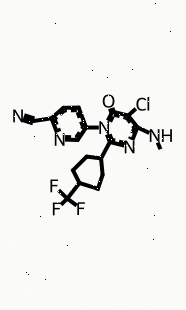 CNc1nc(C2CCC(C(F)(F)F)CC2)n(-c2ccc(C#N)nc2)c(=O)c1Cl